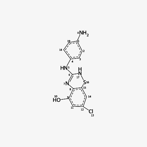 Nc1ccc(NC2=Nc3c(O)cc(Cl)cc3SN2)cc1